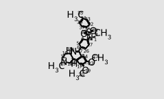 CCN(c1ccc(C2=N[C@@H]3CCN(C)C[C@@H]3c3cc(OC)c(OC)cc32)cc1)S(=O)(=O)c1ccc(C)cc1